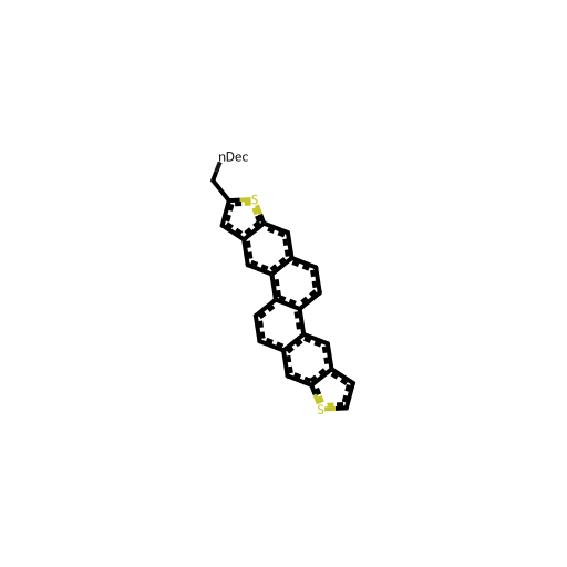 CCCCCCCCCCCc1cc2cc3c(ccc4c5cc6ccsc6cc5ccc34)cc2s1